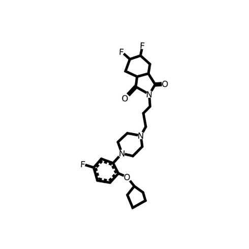 O=C1C2CC(F)C(F)CC2C(=O)N1CCCN1CCN(c2cc(F)ccc2OC2CCCC2)CC1